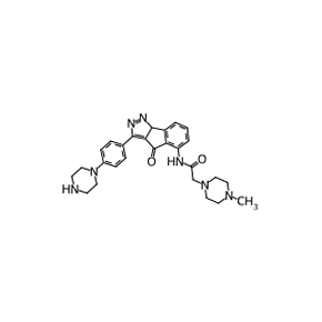 CN1CCN(CC(=O)Nc2cccc3c2C(=O)C2=C(c4ccc(N5CCNCC5)cc4)N=NC23)CC1